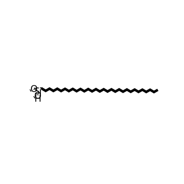 CCCCCCCCCCCCCCCCCCCCCCCCCCCCCCC[SiH](OC)OC